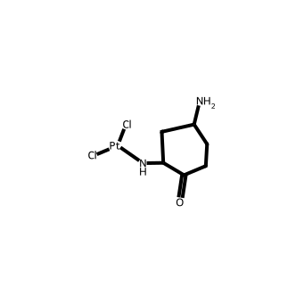 NC1CCC(=O)C([NH][Pt]([Cl])[Cl])C1